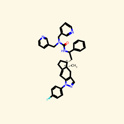 C[C@]12Cc3cnn(-c4ccc(F)cc4)c3C=C1CC[C@@H]2CC(NC(=O)N(Cc1cccnc1)Cc1cccnc1)c1ccccc1